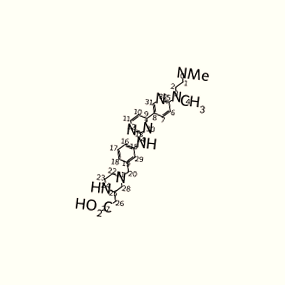 CNCCN(C)c1ccc(-c2ccnc(Nc3cccc(CN4CCNC(CC(=O)O)C4)c3)n2)cn1